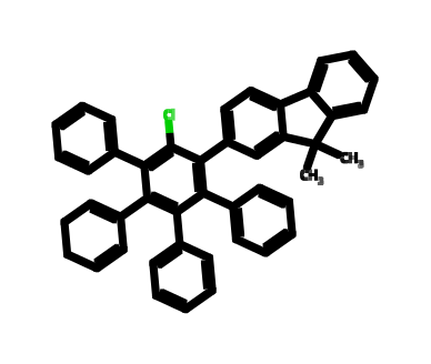 CC1(C)c2ccccc2-c2ccc(-c3c(Cl)c(-c4ccccc4)c(C4=CCCC=C4)c(-c4ccccc4)c3-c3ccccc3)cc21